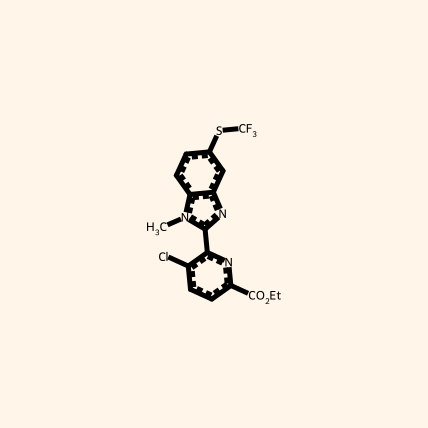 CCOC(=O)c1ccc(Cl)c(-c2nc3cc(SC(F)(F)F)ccc3n2C)n1